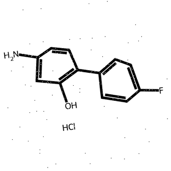 Cl.Nc1ccc(-c2ccc(F)cc2)c(O)c1